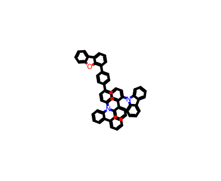 c1ccc(-c2ccccc2N(c2ccc(-c3ccc(-c4cccc5c4oc4ccccc45)cc3)cc2)c2ccccc2-c2ccccc2-n2c3ccccc3c3ccccc32)cc1